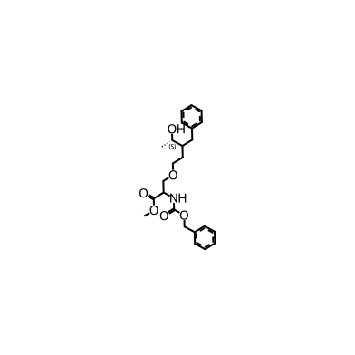 COC(=O)C(COCCC(Cc1ccccc1)[C@H](C)O)NC(=O)OCc1ccccc1